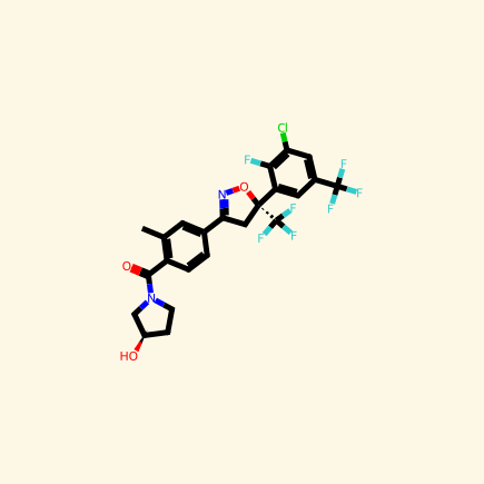 Cc1cc(C2=NO[C@](c3cc(C(F)(F)F)cc(Cl)c3F)(C(F)(F)F)C2)ccc1C(=O)N1CC[C@@H](O)C1